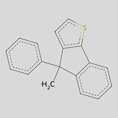 [CH2]C1(c2ccccc2)c2ccccc2-c2sccc21